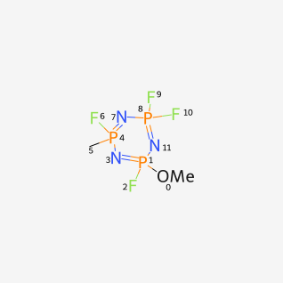 COP1(F)=NP(C)(F)=NP(F)(F)=N1